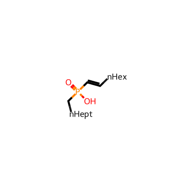 CCCCCCC=CP(=O)(O)CCCCCCCC